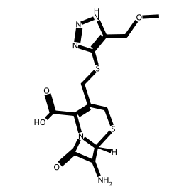 COCc1[nH]nnc1SCC1=C(C(=O)O)N2C(=O)C(N)[C@H]2SC1